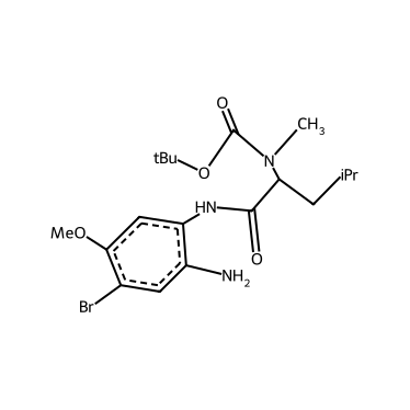 COc1cc(NC(=O)C(CC(C)C)N(C)C(=O)OC(C)(C)C)c(N)cc1Br